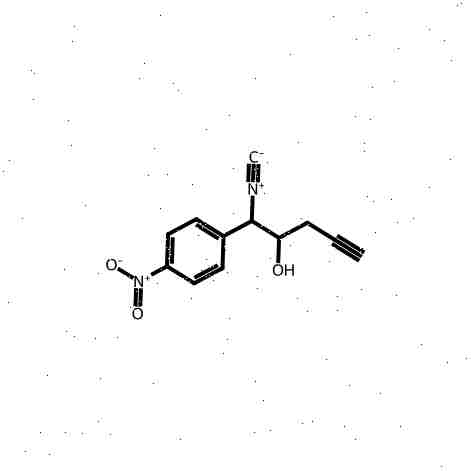 [C-]#[N+]C(c1ccc([N+](=O)[O-])cc1)C(O)CC#C